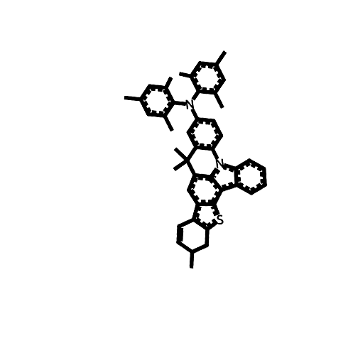 Cc1cc(C)c(N(c2ccc3c(c2)C(C)(C)c2cc4c5c(sc4c4c6ccccc6n-3c24)CC(C)C=C5)c2c(C)cc(C)cc2C)c(C)c1